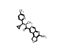 CN(C(=O)c1cc2c3c(c(N)nc2cn1)COC3)C(c1ccc(C(F)(F)F)cn1)C1CC1